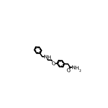 NC(=O)Cc1ccc(OCCNCc2ccccc2)cc1